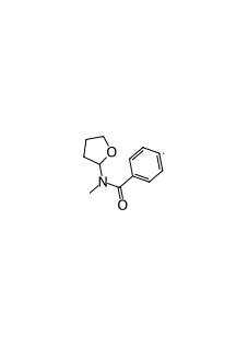 CN(C(=O)c1cc[c]cc1)C1CCCO1